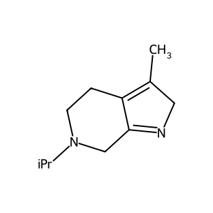 CC1=C2CCN(C(C)C)CC2=NC1